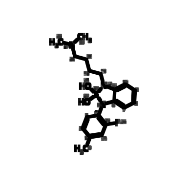 Cc1ccc(N2c3ccccc3N(CCCCN(C)C)S2(O)O)c(F)c1